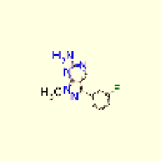 Cn1nc(-c2cccc(F)c2)c2cnc(N)nc21